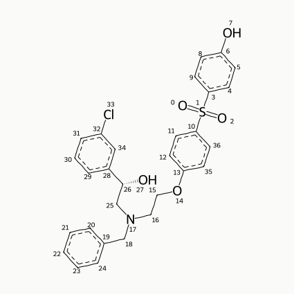 O=S(=O)(c1ccc(O)cc1)c1ccc(OCCN(Cc2ccccc2)C[C@@H](O)c2cccc(Cl)c2)cc1